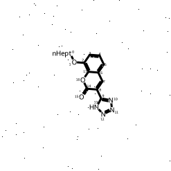 CCCCCCCOc1cccc2cc(-c3nnn[nH]3)c(=O)oc12